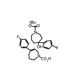 CC(C)(C)OC(=O)N1CCCC(O)(c2ccc(F)cc2)CC1.O=C(O)N1CC=C(c2ccc(F)cc2)CCC1